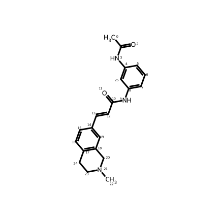 CC(=O)Nc1cccc(NC(=O)C=Cc2ccc3c(c2)CN(C)CC3)c1